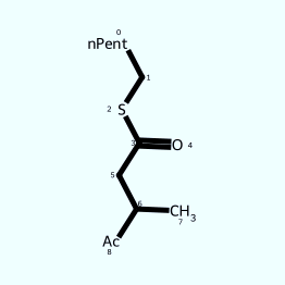 CCCCCCSC(=O)CC(C)C(C)=O